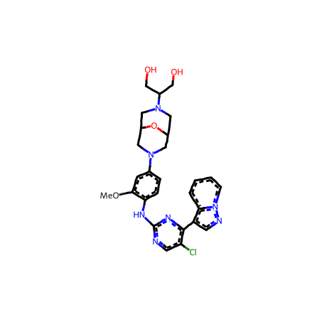 COc1cc(N2CC3CN(C(CO)CO)CC(C2)O3)ccc1Nc1ncc(Cl)c(-c2cnn3ccccc23)n1